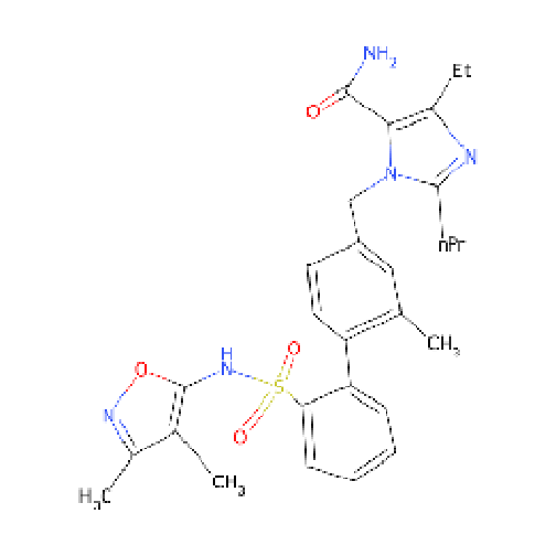 CCCc1nc(CC)c(C(N)=O)n1Cc1ccc(-c2ccccc2S(=O)(=O)Nc2onc(C)c2C)c(C)c1